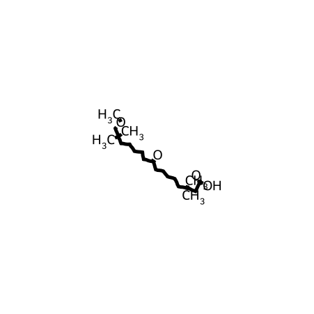 COCC(C)(C)CCCCCC(=O)CCCCCC(C)(C)CC(=O)O